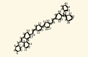 C(=C(\Cc1ccccc1)c1ccccc1)/c1ccc(/C=C/c2ccc(-c3ccc(/C=C/c4ccc(N(c5ccccc5)c5ccccc5)cc4)cc3)cc2)cc1